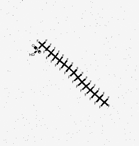 O=S(=O)(O)C(F)(F)C(F)(F)C(F)(F)C(F)(F)C(F)(F)C(F)(F)C(F)(F)C(F)(F)C(F)(F)C(F)(F)C(F)(F)C(F)(F)C(F)(F)C(F)(F)C(F)(F)F